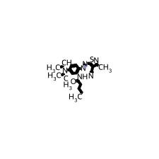 CCCCC(=O)Nc1cc(N(C(C)C)C(C)C)ccc1/N=N/c1snc(C)c1C#N